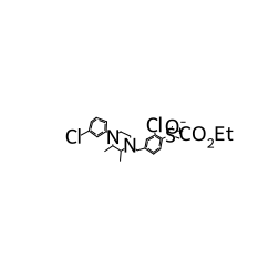 CCOC(=O)C[S+]([O-])c1ccc(CN2CCN(c3cccc(Cl)c3)C(C)C2C)cc1Cl